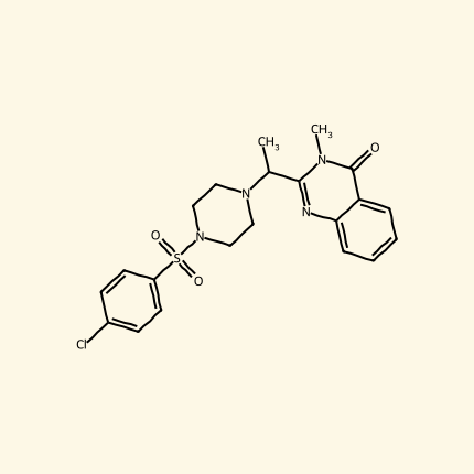 CC(c1nc2ccccc2c(=O)n1C)N1CCN(S(=O)(=O)c2ccc(Cl)cc2)CC1